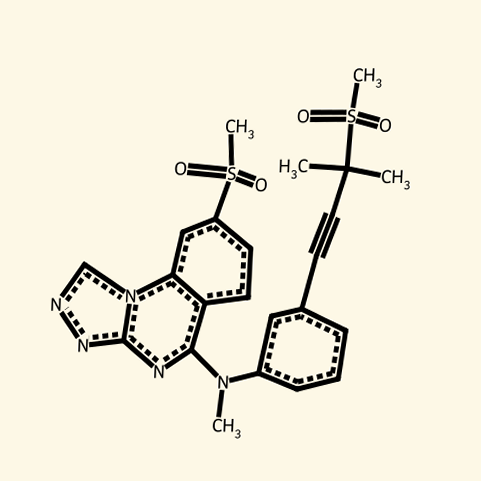 CN(c1cccc(C#CC(C)(C)S(C)(=O)=O)c1)c1nc2nncn2c2cc(S(C)(=O)=O)ccc12